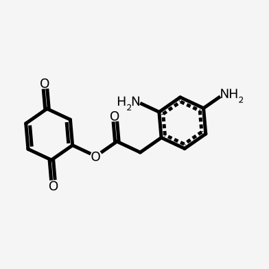 Nc1ccc(CC(=O)OC2=CC(=O)C=CC2=O)c(N)c1